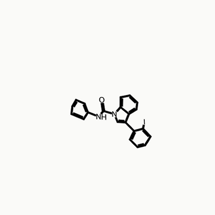 O=C(Nc1ccccc1)n1cc(-c2ccccc2I)c2ccccc21